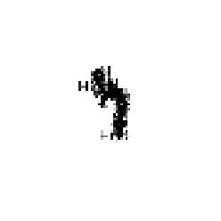 CCCCN1C(=O)[C@@H]([C@H](O)C2CCCCC2)NC(=O)C12CCN(Cc1ccc(COc3ccc(C(=O)O)cc3)cc1)CC2.Cl